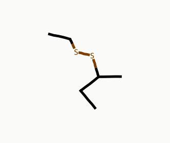 CCSSC(C)CC